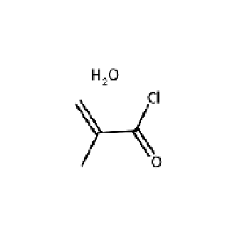 C=C(C)C(=O)Cl.O